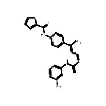 C=C(/N=C\C=C(/N)c1ccc(NC(=O)c2cccs2)cc1)Nc1cccc(N)c1